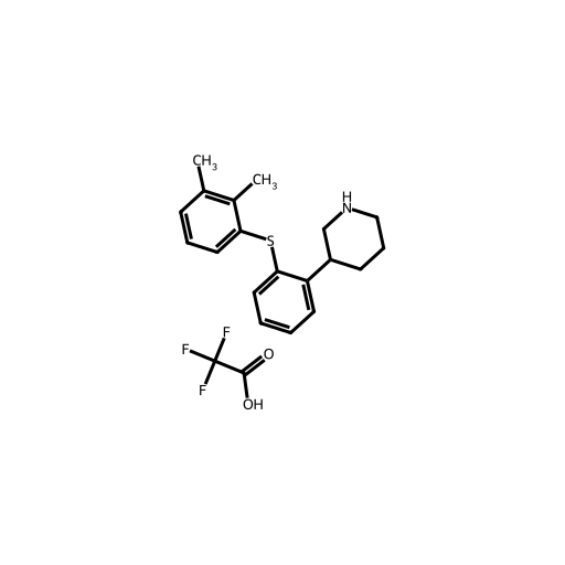 Cc1cccc(Sc2ccccc2C2CCCNC2)c1C.O=C(O)C(F)(F)F